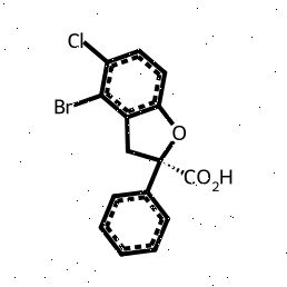 O=C(O)[C@]1(c2ccccc2)Cc2c(ccc(Cl)c2Br)O1